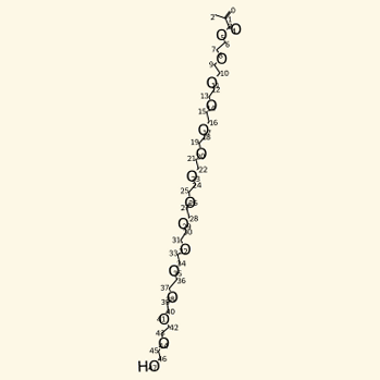 C=C(C)C(=O)OCCOCCOCCOCCOCCOCCOCCOCCOCCOCCOCCOCCOCCOCCO